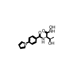 C[C@@H](O)[C@H](NC(=O)c1ccc(-n2cccc2)cc1)C(=O)NO